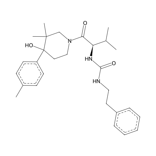 Cc1ccc(C2(O)CCN(C(=O)[C@H](NC(=O)NCCc3ccccc3)C(C)C)CC2(C)C)cc1